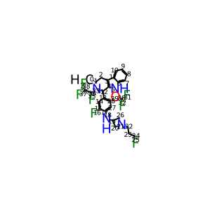 C[C@@H]1Cc2c([nH]c3ccccc23)C(c2cc(F)c(NC3CN(CCCF)C3)cc2OC(F)F)N1C(F)C(F)F